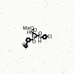 COC(=O)NC1CC(C(=O)Nc2ccc(Cl)cc2)CN(C(=O)c2cccc(-c3ccco3)c2)C1